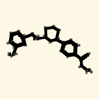 COC(=O)c1ccc(N2CCC[C@H](NCc3ccnc(C)c3)C2)cn1